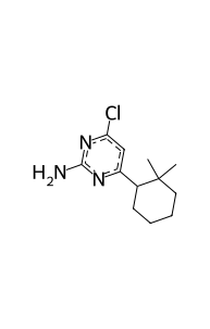 CC1(C)CCCCC1c1cc(Cl)nc(N)n1